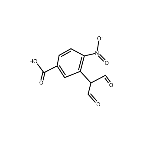 O=CC(C=O)c1cc(C(=O)O)ccc1[N+](=O)[O-]